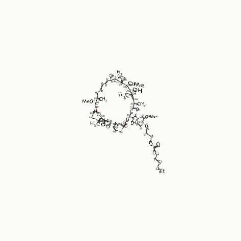 CCSSCCOC(=O)OCCO[C@@H]1CC[C@@H](C[C@@H](C)[C@@H]2CC(=O)[C@H](C)/C=C(\C)[C@@H](O)[C@@H](OC)C(=O)[C@H](C)C[C@H](C)/C=C/C=C/C=C(\C)[C@@H](OC)C[C@@H]3CC[C@@H](C)[C@@](O)(O3)C(=O)C(=O)N3CCCC[C@H]3C(=O)O2)C[C@H]1OC